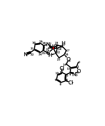 Cc1onc(-c2c(Cl)cccc2Cl)c1CO[C@@H]1C[C@H]2C[C@H](C)[C@@H](C1)[C@]2(O)c1nc2ccc(C#N)cc2s1